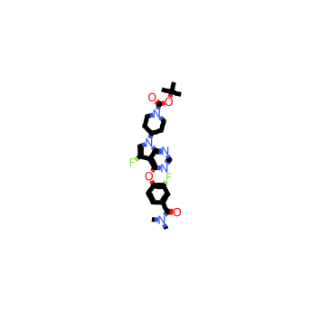 CN(C)C(=O)c1ccc(Oc2ncnc3c2c(F)cn3C2CCN(C(=O)OC(C)(C)C)CC2)c(F)c1